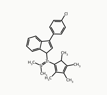 CC1=C(C)C(C)[C]([Zr]([CH]2C=C(c3ccc(Cl)cc3)c3ccccc32)=[Si](C)C)=C1C